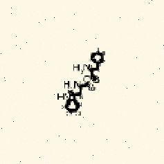 N[C@@H](Cc1ccccc1)C(=O)OC(=O)[C@@H](N)Cc1c[nH]c2ccccc12